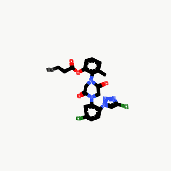 Cc1cccc(OC(=O)CCC(C)(C)C)c1N1CC(=O)N(c2cc(Cl)ccc2-n2cc(Cl)nn2)CC1=O